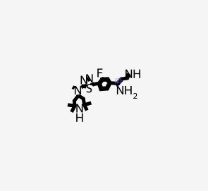 CN(c1nnc(-c2ccc(/C(N)=C/C=N)cc2F)s1)C1CC(C)(C)NC(C)(C)C1